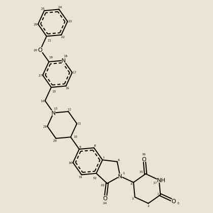 O=C1CCC(N2Cc3cc(C4CCN(Cc5ccnc(Oc6ccccc6)c5)CC4)ccc3C2=O)C(=O)N1